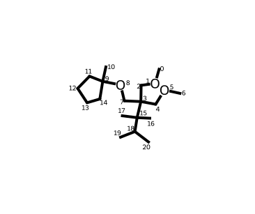 COCC(COC)(COC1(C)CCCC1)C(C)(C)C(C)C